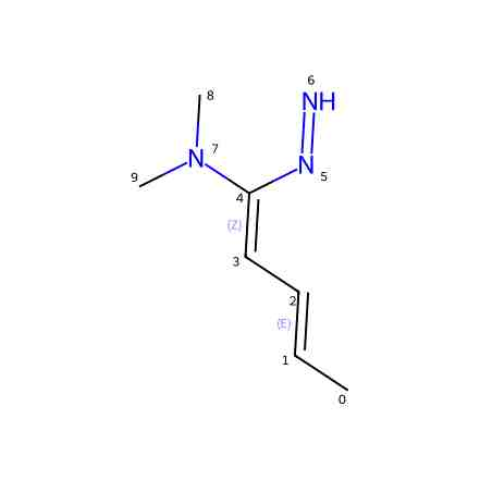 C/C=C/C=C(\N=N)N(C)C